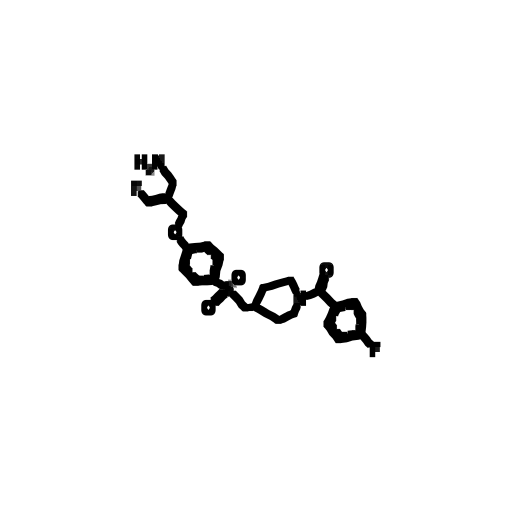 NCC(=CF)COc1ccc(S(=O)(=O)CC2CCN(C(=O)c3ccc(F)cc3)CC2)cc1